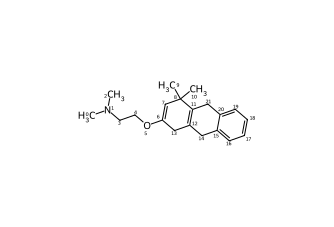 CN(C)CCOC1=CC(C)(C)C2=C(C1)Cc1ccccc1C2